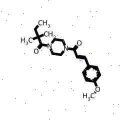 CCC(C)(C)C(=O)N1CCN(C(=O)/C=C/c2ccc(OC)cc2)CC1